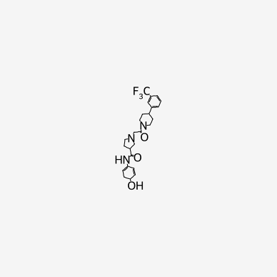 O=C(NC1=CCC(O)C=C1)C1CCN(CC(=O)N2CCC(c3cccc(C(F)(F)F)c3)CC2)C1